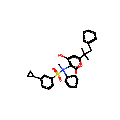 CC(C)(Cc1ccccc1)c1cc(O)c([N+](C)(c2ccccc2)S(=O)(=O)c2cccc(C3CC3)c2)c(=O)o1